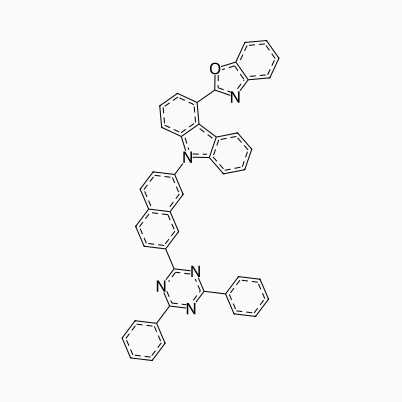 c1ccc(-c2nc(-c3ccccc3)nc(-c3ccc4ccc(-n5c6ccccc6c6c(-c7nc8ccccc8o7)cccc65)cc4c3)n2)cc1